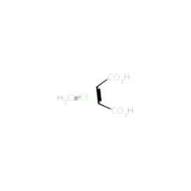 Cl.O=C(O)/C=C\C(=O)O.[CaH2]